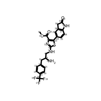 COC(=O)c1nc(NCC(N)Cc2ccc(C(F)(F)F)cc2)sc1-c1ccc2c(c1)CC(=O)N2